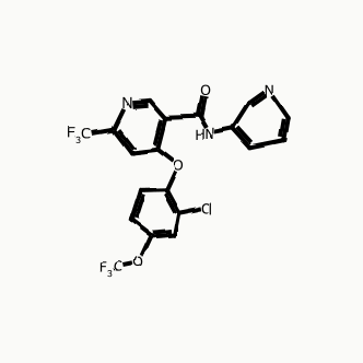 O=C(Nc1cccnc1)c1cnc(C(F)(F)F)cc1Oc1ccc(OC(F)(F)F)cc1Cl